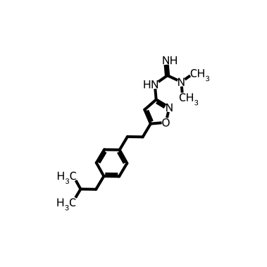 CC(C)Cc1ccc(CCc2cc(NC(=N)N(C)C)no2)cc1